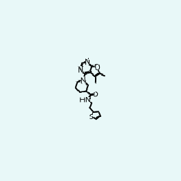 Cc1oc2ncnc(N3CCCC(C(=O)NCCc4cccs4)C3)c2c1C